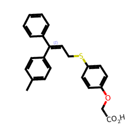 Cc1ccc(/C(=C\CSc2ccc(OCC(=O)O)cc2)c2ccccc2)cc1